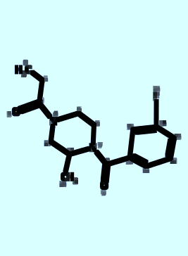 CCC(=O)N1CCN(C(=O)c2cccc(F)c2)C(C)C1